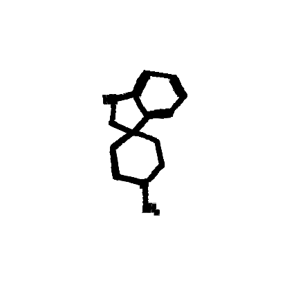 BN1CCC2(CC1)CNc1ccccc12